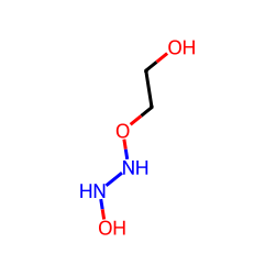 OCCONNO